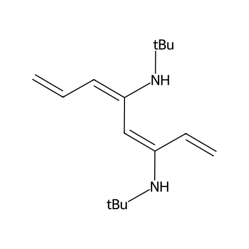 C=C/C=C(\C=C(/C=C)NC(C)(C)C)NC(C)(C)C